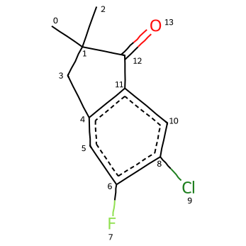 CC1(C)Cc2cc(F)c(Cl)cc2C1=O